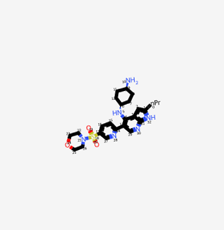 CCCc1cc2c(N[C@H]3CC[C@H](N)CC3)c(-c3ccc(S(=O)(=O)N4CCOCC4)cn3)cnc2[nH]1